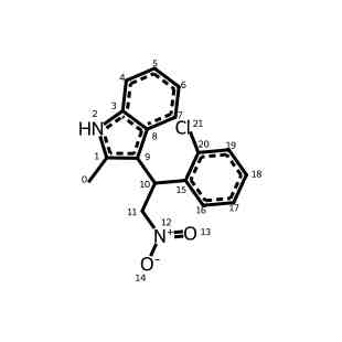 Cc1[nH]c2ccccc2c1C(C[N+](=O)[O-])c1ccccc1Cl